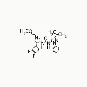 COCCN1CC(NC(=O)Nc2cc(C(C)C)nn2-c2ccccc2)C(c2ccc(F)c(F)c2)C1